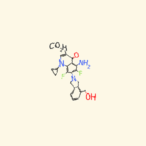 Nc1c(F)c(N2Cc3cccc(CO)c3C2)c(F)c2c1c(=O)c(C(=O)O)cn2C1CC1